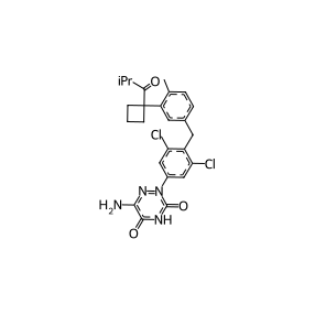 Cc1ccc(Cc2c(Cl)cc(-n3nc(N)c(=O)[nH]c3=O)cc2Cl)cc1C1(C(=O)C(C)C)CCC1